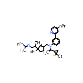 C=C(C1CC1(F)CC)N(CC1CCC(CCC)(C(C)C/N=C(\C)CCC)C1)c1cccc(-c2cc(CCC)ccn2)c1